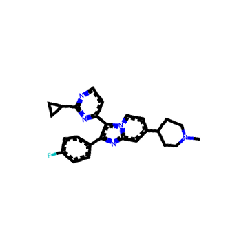 CN1CCC(c2ccn3c(-c4ccnc(C5CC5)n4)c(-c4ccc(F)cc4)nc3c2)CC1